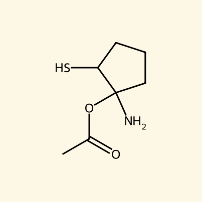 CC(=O)OC1(N)CCCC1S